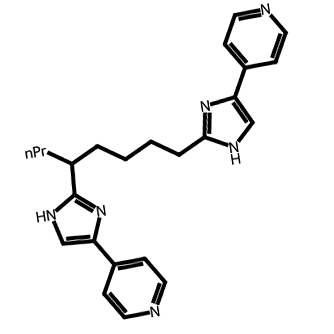 [CH2]CCC(CCCCc1nc(-c2ccncc2)c[nH]1)c1nc(-c2ccncc2)c[nH]1